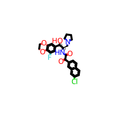 O=C(N[C@H](CN1CCCC1)[C@H](O)c1cc(F)c2c(c1)OCCO2)C(=O)c1ccc2ccc(Cl)cc2c1